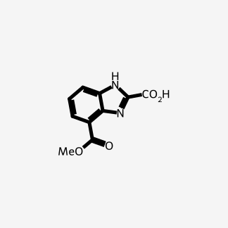 COC(=O)c1cccc2[nH]c(C(=O)O)nc12